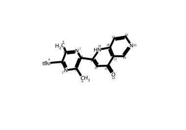 Cc1nc(C(C)(C)C)c(C)nc1-c1cc(=O)c2cnccc2[nH]1